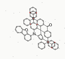 O=C1c2ccc(B(c3ccccc3)c3ccccc3)cc2C2(c3cc(B(c4ccccc4)c4ccccc4)ccc31)c1cc(-c3ccccc3)ccc1N(c1cccc3c1oc1ccccc13)c1ccc(-c3ccccc3)cc12